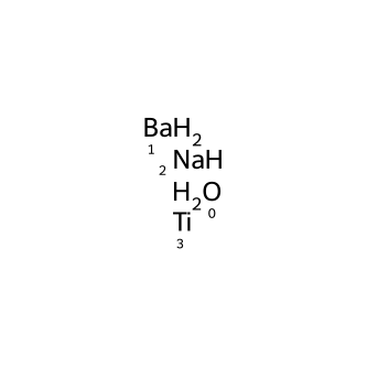 O.[BaH2].[NaH].[Ti]